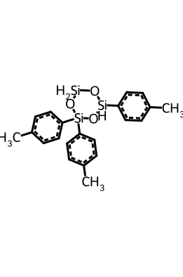 Cc1ccc([SiH]2O[SiH2]O[Si](c3ccc(C)cc3)(c3ccc(C)cc3)O2)cc1